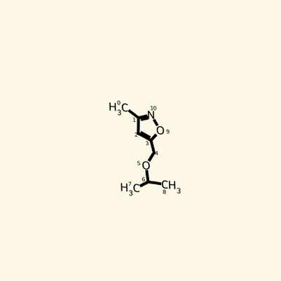 Cc1cc(COC(C)C)on1